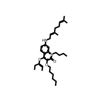 CC=C(CC)Oc1c(OCCCCCC)c(=O)n(CCCC)c2cc(NC/C=C(\C)CCC=C(C)C)ccc12